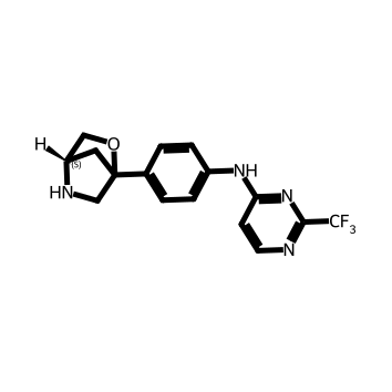 FC(F)(F)c1nccc(Nc2ccc(C34CN[C@H](CO3)C4)cc2)n1